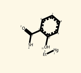 C[CH2][Hg].O=C(S)c1ccccc1O